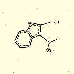 CCC(C(=O)O)c1c(C(=O)O)[nH]c2ccccc12